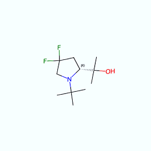 CC(C)(O)[C@H]1CC(F)(F)CN1C(C)(C)C